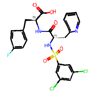 O=C(O)[C@H](Cc1ccc(F)cc1)NC(=O)[C@H](Cc1ccccn1)NS(=O)(=O)c1cc(Cl)cc(Cl)c1